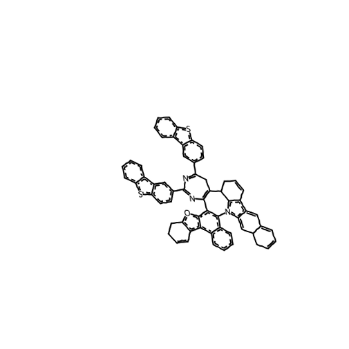 C1=CCC2C=c3c(c4c5n3-c3c(c6oc7c(c6c6ccccc36)C=CCC7)C3=C(CC(c6ccc7sc8ccccc8c7c6)=NC(c6ccc7sc8ccccc8c7c6)=N3)C5CC=C4)=CC2=C1